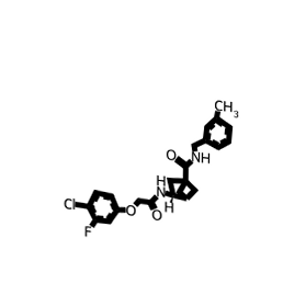 Cc1cccc(CNC(=O)C23CC(C2)[C@@H](NC(=O)COc2ccc(Cl)c(F)c2)C3)c1